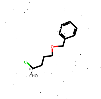 O=C[C@H](Cl)CCCOCc1ccccc1